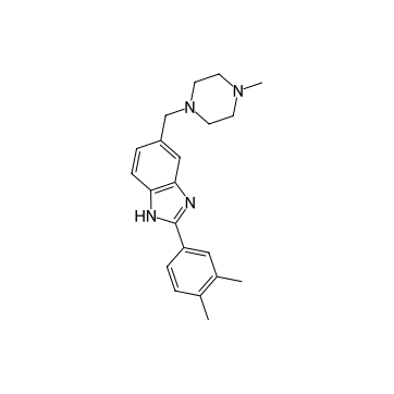 Cc1ccc(-c2nc3cc(CN4CCN(C)CC4)ccc3[nH]2)cc1C